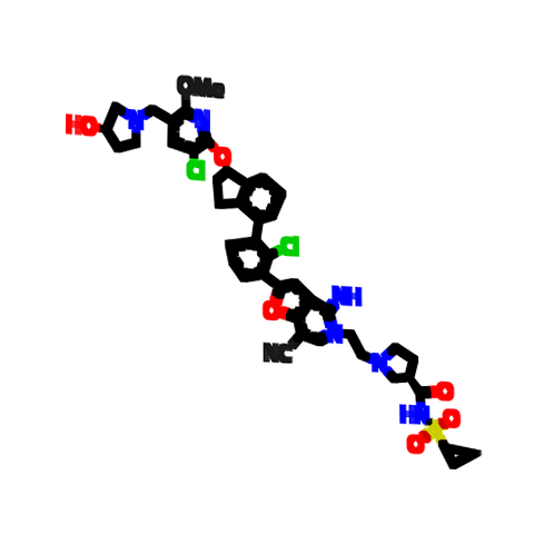 COc1nc(O[C@H]2CCc3c(-c4cccc(-c5cc6c(=N)n(CCN7CC[C@@H](C(=O)NS(=O)(=O)C8CC8)C7)cc(C#N)c6o5)c4Cl)cccc32)c(Cl)cc1CN1CC[C@@H](O)C1